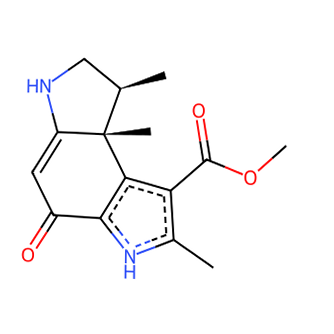 COC(=O)c1c(C)[nH]c2c1[C@]1(C)C(=CC2=O)NC[C@H]1C